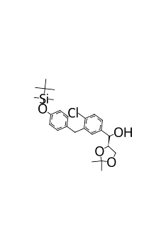 CC1(C)OC[C@H](C(O)c2ccc(Cl)c(Cc3ccc(O[Si](C)(C)C(C)(C)C)cc3)c2)O1